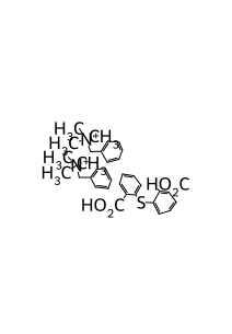 C[N+](C)(C)Cc1ccccc1.C[N+](C)(C)Cc1ccccc1.O=C(O)c1ccccc1Sc1ccccc1C(=O)O